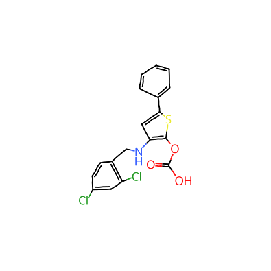 O=C(O)Oc1sc(-c2ccccc2)cc1NCc1ccc(Cl)cc1Cl